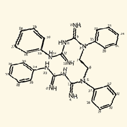 N=C(NC(=N)N(CCN(C(=N)NC(=N)Nc1ccccc1)c1ccccc1)c1ccccc1)Nc1ccccc1